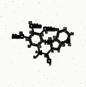 COc1cc(N(C)C(=O)c2cc3ncccc3[nH]2)cc(OC)c1OC